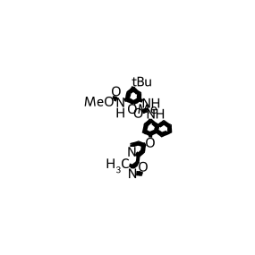 COC(=O)Nc1cc(C(C)(C)C)cc(NC(=O)Nc2ccc(Oc3ccnc(-c4ocnc4C)c3)c3ccccc23)c1OC